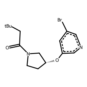 CC(C)(C)CC(=O)N1CC[C@@H](Oc2cncc(Br)c2)C1